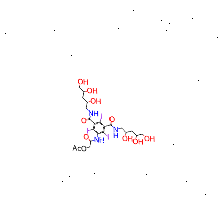 CC(=O)OCC(=O)Nc1c(I)c(C(=O)NCC(O)CC(O)CO)c(I)c(C(=O)NCC(O)CC(O)CO)c1I